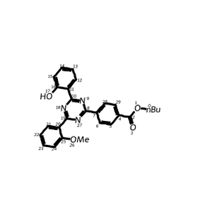 CCCCOC(=O)c1ccc(-c2nc(-c3ccccc3O)nc(-c3ccccc3OC)n2)cc1